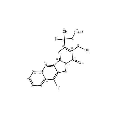 CCc1c2c(nc3ccccc13)-c1cc(C(O)(CC)CC(=O)O)c(CO)c(=O)n1C2